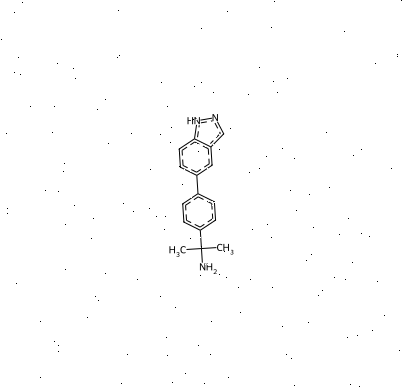 CC(C)(N)c1ccc(-c2ccc3[nH]ncc3c2)cc1